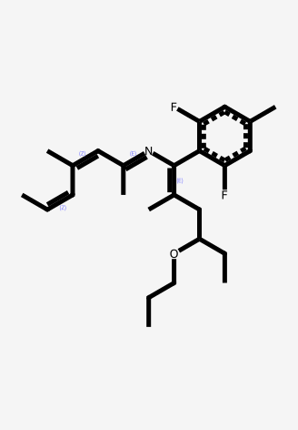 C\C=C/C(C)=C\C(C)=N\C(=C(/C)CC(CC)OCCC)c1c(F)cc(C)cc1F